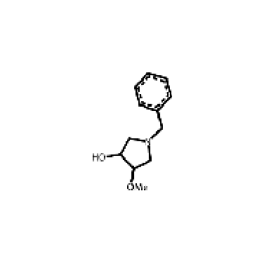 COC1CN(Cc2ccccc2)CC1O